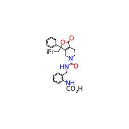 CC(C)CC1(c2ccccc2)OC(=O)C2=C1CN(C(=O)NCc1ccccc1NC(=O)O)CC2